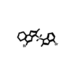 CC1=CC2C(=C1[Si](C)(C)C1C(C)=Cc3c(Br)cccc31)C=C(Br)C1=C2CCCC1